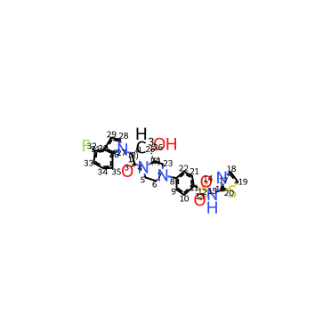 C[C@H](C(=O)N1CCN(c2ccc(S(=O)(=O)Nc3nccs3)cc2)C[C@H]1CO)n1ccc2c(F)cccc21